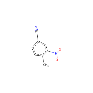 Cc1c[c]c(C#N)cc1[N+](=O)[O-]